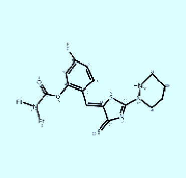 CCN(CC)C(=O)Oc1cc(F)ccc1C=C1SC(N2CCCCN2)=NC1=S